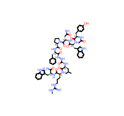 CNC(=N)NCCC[C@H](NC(=O)[C@H](CC(C)C)NC(=O)NNC(=O)[C@H](Cc1ccccc1)NC(=O)[C@H]1CCCN1C(=O)[C@H](CC(N)=O)NC(=O)[C@@H](Cc1c[nH]c2ccccc12)NC(=O)[C@@H](Cc1ccc(O)cc1)NC(C)=O)C(=O)N[C@@H](Cc1c[nH]c2ccccc12)C(N)=O